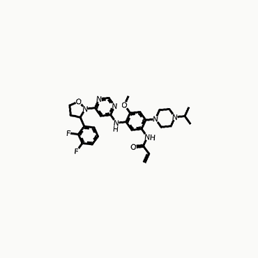 C=CC(=O)Nc1cc(Nc2cc(N3OCCC3c3cccc(F)c3F)ncn2)c(OC)cc1N1CCN(C(C)C)CC1